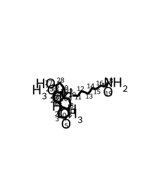 C[C@]12CCC(=O)C[C@@H]1C[C@@H](CCCCCCCC(N)=O)[C@@H]1[C@@H]2CC[C@]2(C)[C@@H](O)CC[C@@H]12